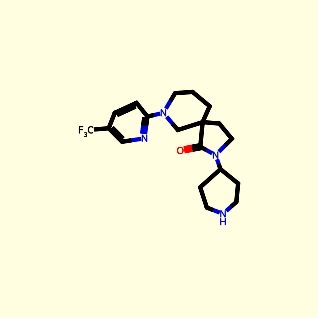 O=C1N(C2CCNCC2)CCC12CCCN(c1ccc(C(F)(F)F)cn1)C2